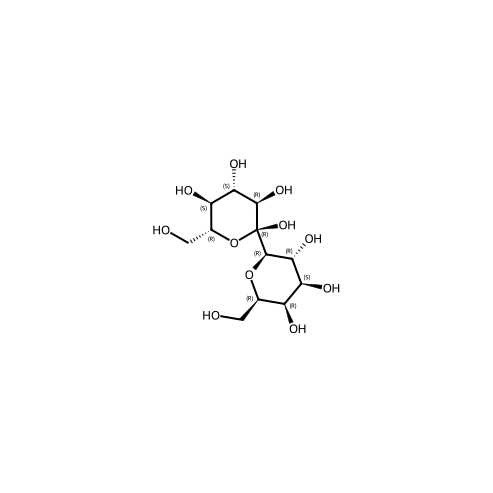 OC[C@H]1O[C@@H]([C@]2(O)O[C@H](CO)[C@@H](O)[C@H](O)[C@H]2O)[C@H](O)[C@@H](O)[C@H]1O